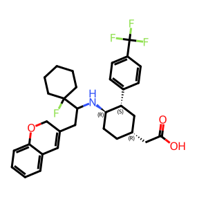 O=C(O)C[C@@H]1CC[C@@H](NC(CC2=Cc3ccccc3OC2)C2(F)CCCCC2)[C@H](c2ccc(C(F)(F)F)cc2)C1